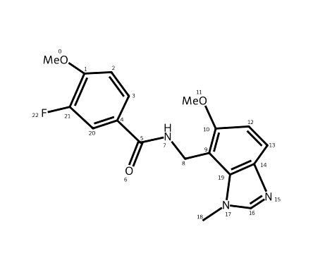 COc1ccc(C(=O)NCc2c(OC)ccc3ncn(C)c23)cc1F